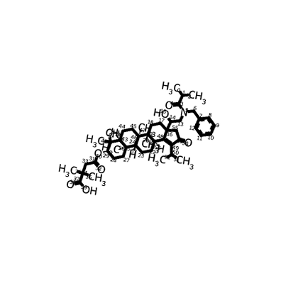 CC(C)C(=O)N(Cc1ccccc1)CC(O)C12CC[C@]3(C)[C@H](CC[C@@H]4[C@@]5(C)CC[C@H](OC(=O)CC(C)(C)C(=O)O)C(C)(C)[C@H]5CC[C@]43C)C1=C(C(C)C)C(=O)C2